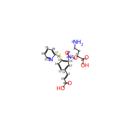 NCCCC(=O)O.O=C(O)C=Cc1ccc(Sc2ccccn2)c([N+](=O)[O-])c1